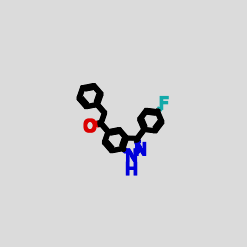 O=C(Cc1ccccc1)c1ccc2[nH]nc(-c3ccc(F)cc3)c2c1